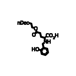 CCCCCCCCCCCCOC(=O)CC[C@H](NCc1ccccc1O)C(=O)O